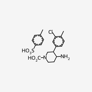 Cc1ccc(C2CN(C(=O)O)CCC2N)cc1Cl.Cc1ccc(S(=O)(=O)O)cc1